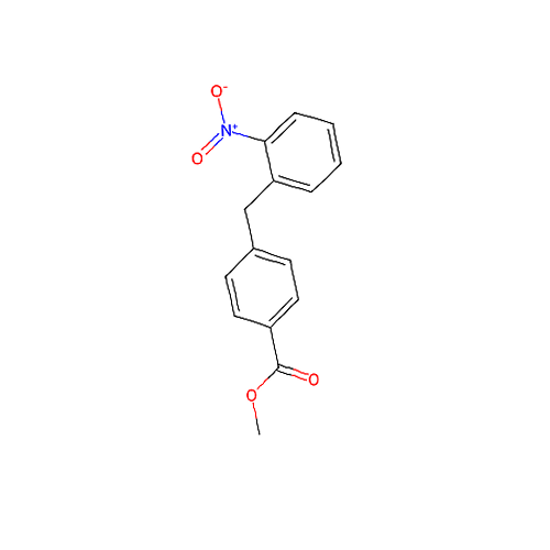 COC(=O)c1ccc(Cc2ccccc2[N+](=O)[O-])cc1